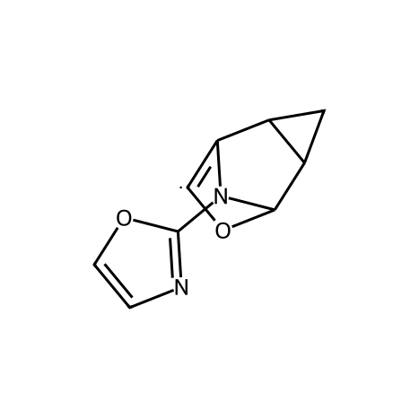 [C]1=C2C3CC3C(O1)N2c1ncco1